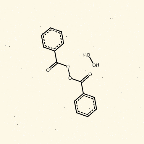 O=C(OOC(=O)c1ccccc1)c1ccccc1.OO